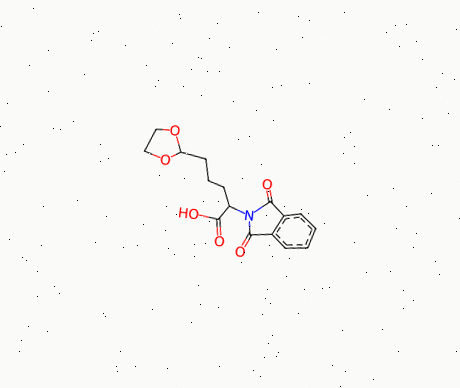 O=C(O)C(CCCC1OCCO1)N1C(=O)c2ccccc2C1=O